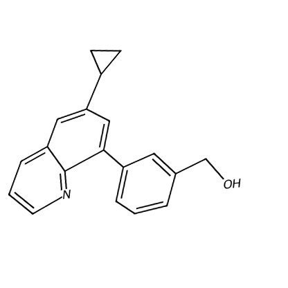 OCc1cccc(-c2cc(C3CC3)cc3cccnc23)c1